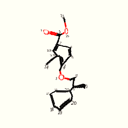 C=C(COc1ccc(C(=O)OC)cc1C)c1ccccc1